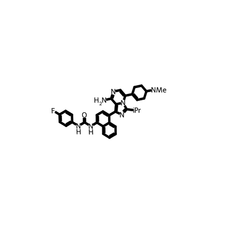 CNC1CC=C(c2cnc(N)c3c(-c4ccc(NC(=O)Nc5ccc(F)cc5)c5ccccc45)nc(C(C)C)n23)CC1